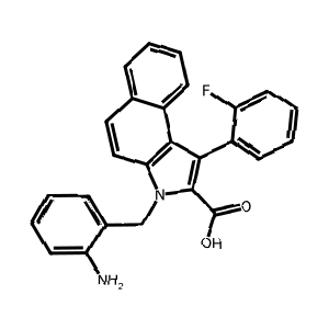 Nc1ccccc1Cn1c(C(=O)O)c(-c2ccccc2F)c2c3ccccc3ccc21